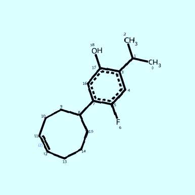 CC(C)c1cc(F)c(C2CC/C=C\CCC2)cc1O